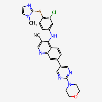 Cn1ccnc1Sc1ccc(Nc2c(C#N)cnc3cc(-c4cnc(N5CCOCC5)nc4)ccc23)cc1Cl